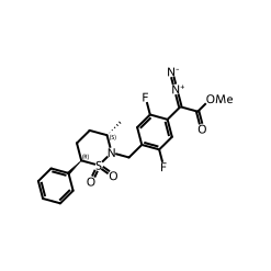 COC(=O)C(=[N+]=[N-])c1cc(F)c(CN2[C@@H](C)CC[C@H](c3ccccc3)S2(=O)=O)cc1F